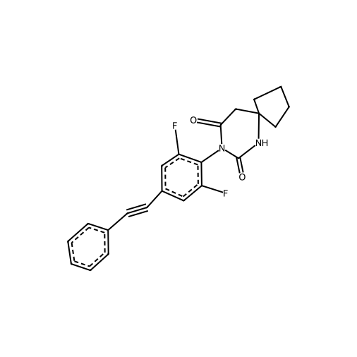 O=C1CC2(CCCC2)NC(=O)N1c1c(F)cc(C#Cc2ccccc2)cc1F